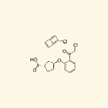 Clc1cc2ccc1-2.O=C(CCl)c1ccccc1O[C@H]1CC[C@H](C(=O)O)C1